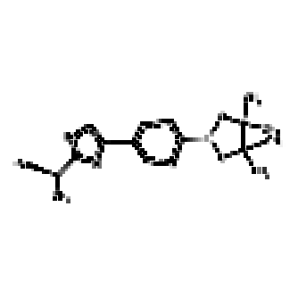 C[C@H](c1nc(-c2ccc(B3OC(C)(C)C(C)(C)O3)cc2)c[nH]1)C(C)(C)C